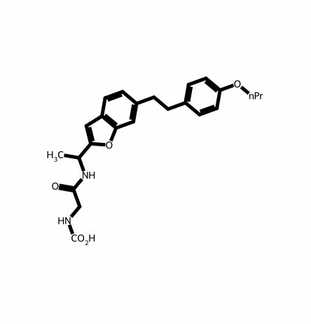 CCCOc1ccc(CCc2ccc3cc(C(C)NC(=O)CNC(=O)O)oc3c2)cc1